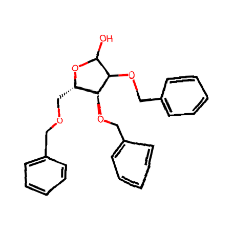 OC1O[C@@H](COCc2ccccc2)[C@H](OCc2ccccc2)C1OCc1ccccc1